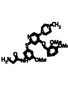 COc1cc(NC(=O)CN)cc(Sc2cc(OCc3cccc(OC)c3OC)c(N3CCN(C)CC3)cn2)c1